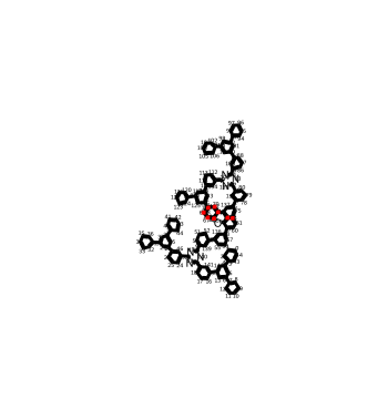 c1ccc(-c2cc(-c3ccccc3)cc(-c3cccc(-c4nc(-c5cccc(-c6cc(-c7ccccc7)cc(-c7ccccc7)c6)c5)nc(-c5cccc(-c6cccc(-c7ccccc7Oc7ccccc7-c7cccc(-c8cccc(-c9nc(-c%10cccc(-c%11cc(-c%12ccccc%12)cc(-c%12ccccc%12)c%11)c%10)nc(-c%10cccc(-c%11cc(-c%12ccccc%12)cc(-c%12ccccc%12)c%11)c%10)n9)c8)c7)c6)c5)n4)c3)c2)cc1